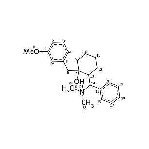 COc1cccc(CC2(O)CCCCC2C(c2ccccc2)N(C)C)c1